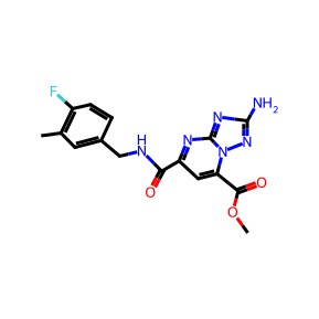 COC(=O)c1cc(C(=O)NCc2ccc(F)c(C)c2)nc2nc(N)nn12